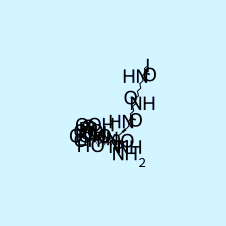 Nc1nc2c(c(C#CCNC(=O)CCCNC(=O)CCCCCNC(=O)CI)cn2[C@H]2CC(O)[C@@H](COP(=O)(O)OP(=O)(O)OP(=O)(O)O)O2)c(=O)[nH]1